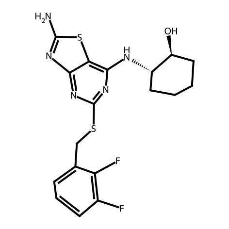 Nc1nc2nc(SCc3cccc(F)c3F)nc(N[C@H]3CCCC[C@@H]3O)c2s1